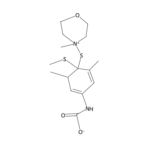 CSC1(S[N+]2(C)CCOCC2)C(C)=CC(NC(=O)[O-])=CC1C